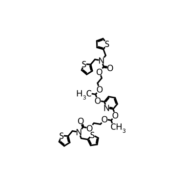 CC(OCCOC(=O)N(Cc1cccs1)Cc1cccs1)Oc1cccc(OC(C)OCCOC(=O)N(Cc2cccs2)Cc2cccs2)n1